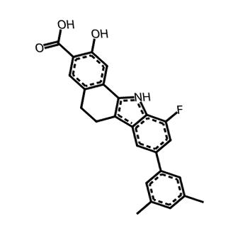 Cc1cc(C)cc(-c2cc(F)c3[nH]c4c(c3c2)CCc2cc(C(=O)O)c(O)cc2-4)c1